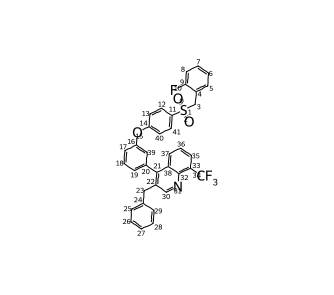 O=S(=O)(Cc1ccccc1F)c1ccc(Oc2cccc(-c3c(Cc4ccccc4)cnc4c(C(F)(F)F)cccc34)c2)cc1